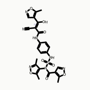 Cc1noc(C)c1N(C(=O)c1cnoc1C)S(=O)(=O)Nc1ccc(NC(=O)/C(C#N)=C(\O)c2cnoc2C)cc1